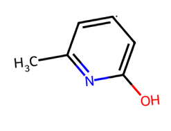 Cc1c[c]cc(O)n1